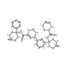 O=C(OC1(c2ccccc2)CCNCC1)C1=CC(c2cccc(C3(OC(=O)C4CC=CCC4)CCNCC3)c2)CCC1